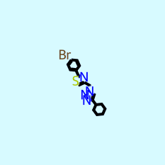 Brc1ccc(-c2nc(Cn3cc(C4CCCCC4)nn3)cs2)cc1